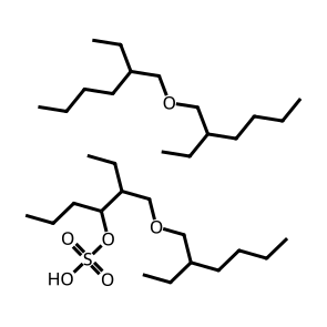 CCCCC(CC)COCC(CC)C(CCC)OS(=O)(=O)O.CCCCC(CC)COCC(CC)CCCC